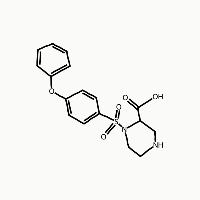 O=C(O)C1CNCCN1S(=O)(=O)c1ccc(Oc2ccccc2)cc1